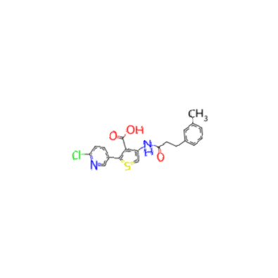 Cc1cccc(CCC(=O)Nc2csc(-c3ccc(Cl)nc3)c2C(=O)O)c1